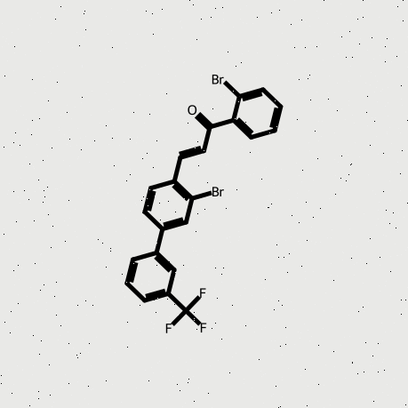 O=C(/C=C/c1ccc(-c2cccc(C(F)(F)F)c2)cc1Br)c1ccccc1Br